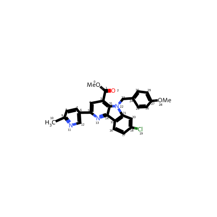 COC(=O)c1cc(-c2ccc(C)nc2)nc2c3ccc(Cl)cc3n(Cc3ccc(OC)cc3)c12